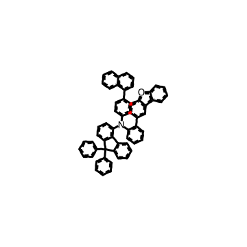 c1ccc(C2(c3ccccc3)c3ccccc3-c3c(N(c4ccc(-c5cccc6ccccc56)cc4)c4ccccc4-c4ccc5oc6ccccc6c5c4)cccc32)cc1